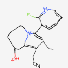 Cc1c(C#N)c2n(c1-c1cccnc1F)CCCC2O